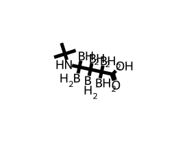 BC(B)(NC(C)(C)C)C(B)(B)C(B)(B)C(=O)O